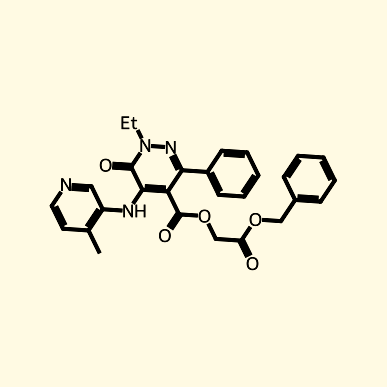 CCn1nc(-c2ccccc2)c(C(=O)OCC(=O)OCc2ccccc2)c(Nc2cnccc2C)c1=O